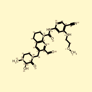 COCCNc1cc(NC(=O)N2CCCc3cc(CN4CCN(C)[C@H](O)C4=O)c(C=O)nc32)ncc1C#N